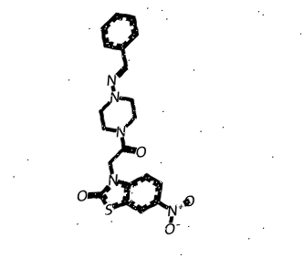 O=C(Cn1c(=O)sc2cc([N+](=O)[O-])ccc21)N1CCN(/N=C/c2ccccc2)CC1